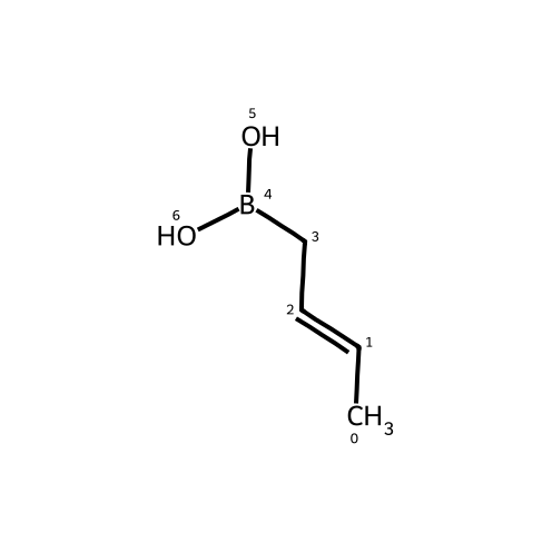 CC=CCB(O)O